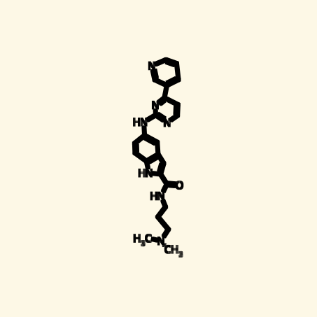 CN(C)CCCNC(=O)c1cc2cc(Nc3nccc(-c4cccnc4)n3)ccc2[nH]1